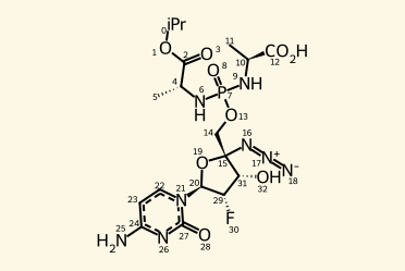 CC(C)OC(=O)[C@@H](C)NP(=O)(N[C@@H](C)C(=O)O)OC[C@]1(N=[N+]=[N-])O[C@H](n2ccc(N)nc2=O)[C@@H](F)[C@H]1O